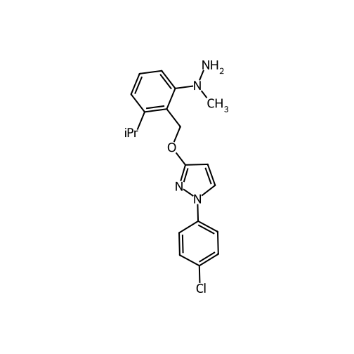 CC(C)c1cccc(N(C)N)c1COc1ccn(-c2ccc(Cl)cc2)n1